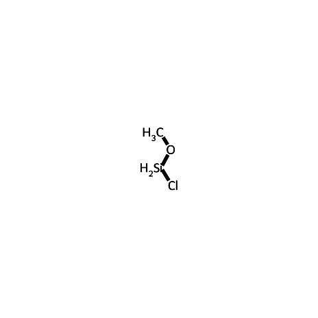 CO[SiH2]Cl